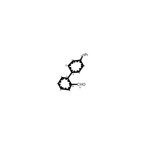 CCCc1ccc(-c2ccccc2C=O)cc1